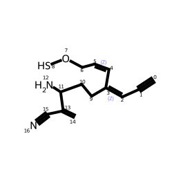 C#C/C=C(\C=C/COS)CCC(N)C(=C)C#N